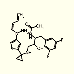 C=C/C=C\N(N)c1csc(C2(NCC(O)C(Cc3cc(F)cc(F)c3)NC(C)=O)CC2)c1